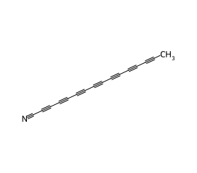 CC#CC#CC#CC#CC#CC#CC#CC#N